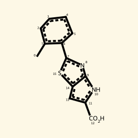 Cc1ccccc1-c1nc2[nH]c(C(=O)O)cc2s1